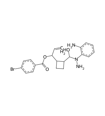 C=CC(OC(=O)c1ccc(Br)cc1)C1CCC1C(O)N(N)c1ccccc1N